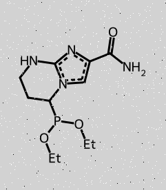 CCOP(OCC)C1CCNc2nc(C(N)=O)cn21